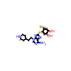 Nc1ncn(CCC2CCNCC2)c2nc(Sc3cc(O)c(O)cc3Br)nc1-2